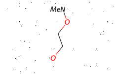 CNOCC[O]